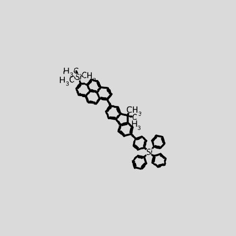 CC1(C)c2cc(-c3ccc([Si](c4ccccc4)(c4ccccc4)c4ccccc4)cc3)ccc2-c2ccc(-c3ccc4ccc5c([Si](C)(C)C)ccc6ccc3c4c65)cc21